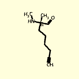 C#CCCCC[C@@](C)(C=O)NC